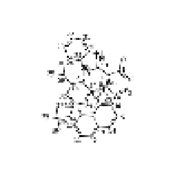 Cc1ccc2c(oc3c4ccccc4ccc23)c1-c1nc2ccccc2n1-c1c(C(C)C)cc(CC(C)(C)C)cc1C(C)C